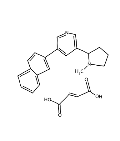 CN1CCCC1c1cncc(-c2ccc3ccccc3c2)c1.O=C(O)/C=C/C(=O)O